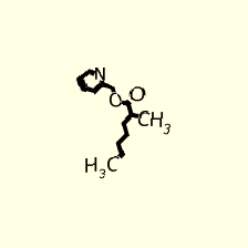 CCCCCC(C)C(=O)OCc1ccccn1